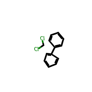 ClCCl.c1ccc(-c2ccccc2)cc1